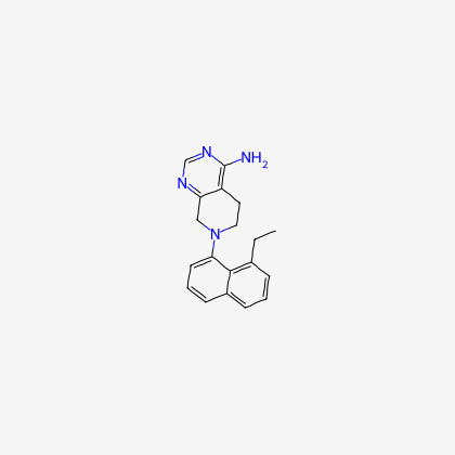 CCc1cccc2cccc(N3CCc4c(N)ncnc4C3)c12